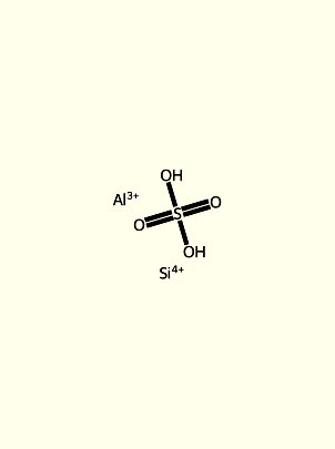 O=S(=O)(O)O.[Al+3].[Si+4]